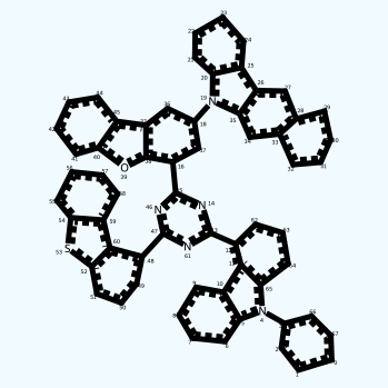 c1ccc(-n2c3ccccc3c3c(-c4nc(-c5cc(-n6c7ccccc7c7cc8ccccc8cc76)cc6c5oc5ccccc56)nc(-c5cccc6sc7ccccc7c56)n4)cccc32)cc1